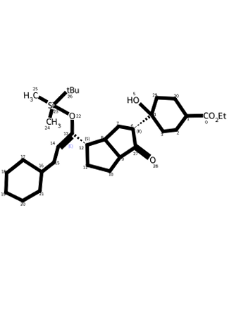 CCOC(=O)C1CCC(O)([C@H]2CC3C(CC[C@@H]3/C(=C\CC3CCCCC3)O[Si](C)(C)C(C)(C)C)C2=O)CC1